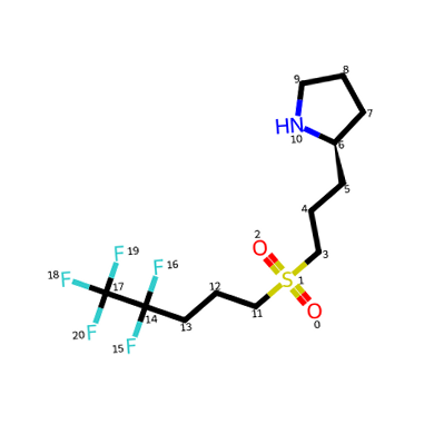 O=S(=O)(CCC[C@@H]1CCCN1)CCCC(F)(F)C(F)(F)F